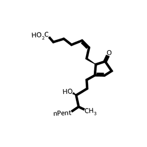 CCCCCC(C)[C@@H](O)CCC1=CCC(=O)[C@@H]1C/C=C\CCCC(=O)O